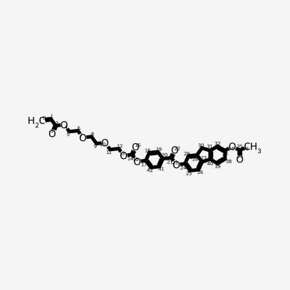 C=CC(=O)OCCOCCOCCOC(=O)Oc1ccc(C(=O)Oc2ccc3c(c2)Cc2cc(OC(C)=O)ccc2-3)cc1